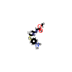 CCOC(=O)/C=C/C(C)=C/C(C)Sc1ccc(N(C)C)cc1